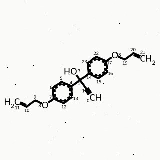 C#CC(O)(c1ccc(OCC=C)cc1)c1ccc(OCC=C)cc1